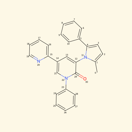 Cc1ccc(-c2ccccc2)n1-c1cc(-c2ccccn2)cn(-c2ccccc2)c1=O